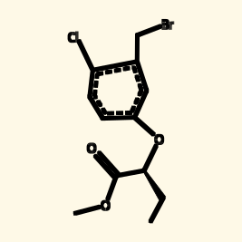 CC[C@H](Oc1ccc(Cl)c(CBr)c1)C(=O)OC